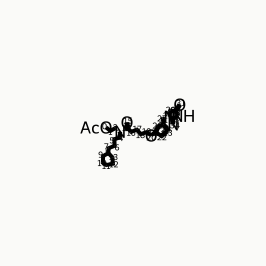 CC(=O)OCCN(CCCCC1CCCCC1)C(=O)CCCCOc1ccc2c(c1)CN1CC(=O)NC1=N2